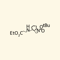 CCOC(=O)CCNCc1cccc2c1CC=[N+]2C(=O)OC(C)(C)C